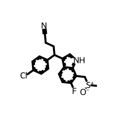 C[S+]([O-])Cc1c(F)ccc2c(C(CCC#N)c3ccc(Cl)cc3)c[nH]c12